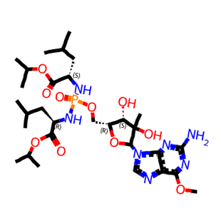 COc1nc(N)nc2c1ncn2C1O[C@H](COP(=O)(N[C@@H](CC(C)C)C(=O)OC(C)C)N[C@H](CC(C)C)C(=O)OC(C)C)[C@H](O)C1(C)O